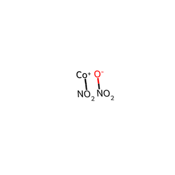 O=[N+]([O-])[Co+].O=[N+]([O-])[O-]